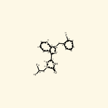 O=c1[nH]c(-c2nn(Cc3ccccc3F)c3ncccc23)nn1CC(F)F